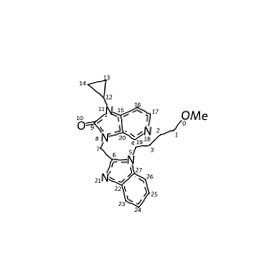 COCCCCn1c(Cn2c(=O)n(C3CC3)c3ccncc32)nc2ccccc21